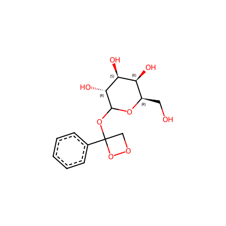 OC[C@H]1OC(OC2(c3ccccc3)COO2)[C@H](O)[C@@H](O)[C@H]1O